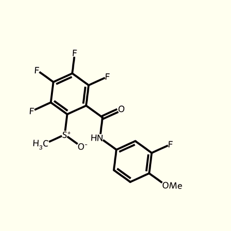 COc1ccc(NC(=O)c2c(F)c(F)c(F)c(F)c2[S+](C)[O-])cc1F